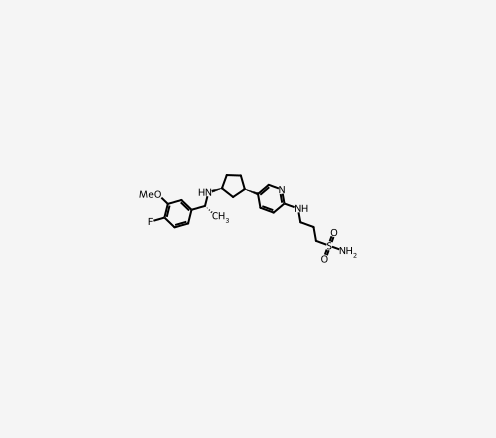 COc1cc([C@@H](C)N[C@H]2CC[C@@H](c3ccc(NCCCS(N)(=O)=O)nc3)C2)ccc1F